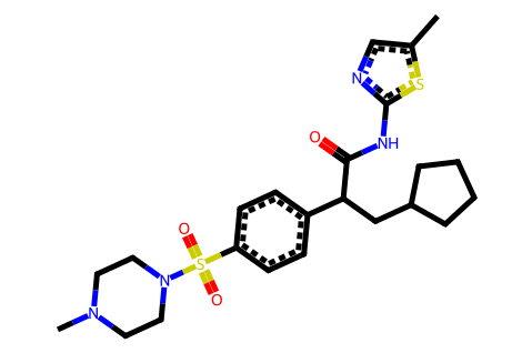 Cc1cnc(NC(=O)C(CC2CCCC2)c2ccc(S(=O)(=O)N3CCN(C)CC3)cc2)s1